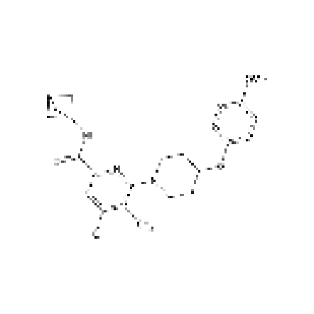 COc1ccc(OC2CCN(c3nc(C(=O)NC45CC(C4)C5)nc(Cl)c3C)CC2)cn1